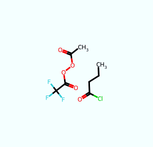 CC(=O)OOC(=O)C(F)(F)F.CCCC(=O)Cl